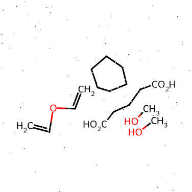 C1CCCCC1.C=COC=C.CO.CO.O=C(O)CCCC(=O)O